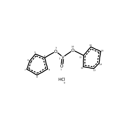 Cl.[O]=[V]([O]c1ccccc1)[O]c1ccccc1